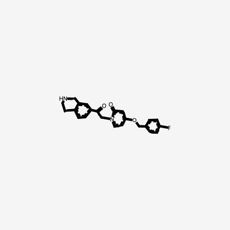 O=C(Cn1ccc(OCc2ccc(F)cc2)cc1=O)c1ccc2c(c1)CNCC2